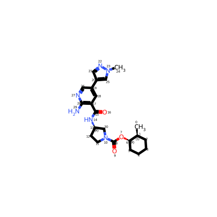 C[C@H]1CCCC[C@H]1OC(=O)N1CC[C@@H](NC(=O)c2cc(-c3cnn(C)c3)cnc2N)C1